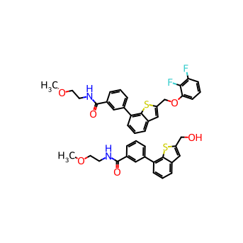 COCCNC(=O)c1cccc(-c2cccc3cc(CO)sc23)c1.COCCNC(=O)c1cccc(-c2cccc3cc(COc4cccc(F)c4F)sc23)c1